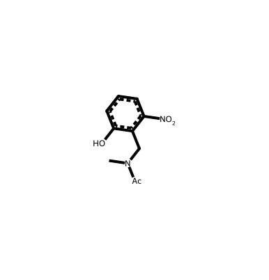 CC(=O)N(C)Cc1c(O)cccc1[N+](=O)[O-]